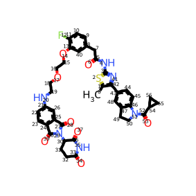 Cc1sc(NC(=O)Cc2ccc(F)c(OCCOCCNc3ccc4c(c3)C(=O)N(C3CCC(=O)NC3=O)C4=O)c2)nc1-c1ccc2c(c1)CCN2C(=O)C1CC1